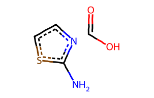 Nc1nccs1.O=CO